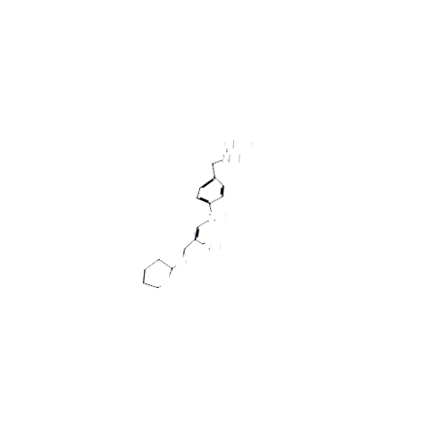 N/C(=C\Nc1ccc(CNC=O)cc1)COC1CCCCO1